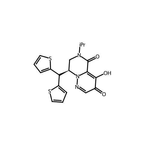 CC(C)N1C[C@H](C(c2cccs2)c2cccs2)n2ncc(=O)c(O)c2C1=O